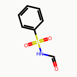 O=[C]NS(=O)(=O)c1ccccc1